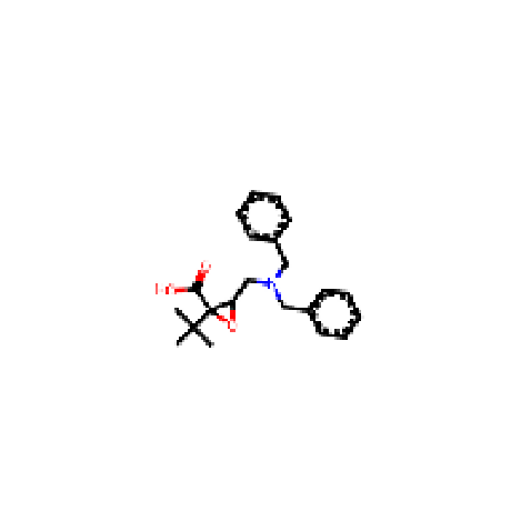 CC(C)(C)C1(C(=O)O)OC1CN(Cc1ccccc1)Cc1ccccc1